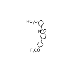 O=C(O)c1cccc(-c2nc3cc(-c4ccc(OC(F)(F)F)cc4)ccc3o2)c1